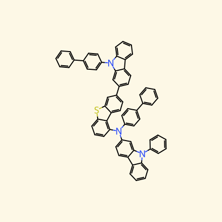 c1ccc(-c2ccc(N(c3ccc4c5ccccc5n(-c5ccccc5)c4c3)c3cccc4sc5cc(-c6ccc7c8ccccc8n(-c8ccc(-c9ccccc9)cc8)c7c6)ccc5c34)cc2)cc1